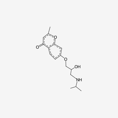 Cc1cc(=O)c2ccc(OCC(O)CNC(C)C)cc2o1